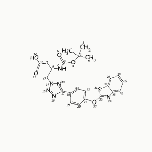 CC(C)(C)OC(=O)NC(CC(=O)O)Cn1nnc(-c2ccc(Oc3nc4ccccc4s3)cc2)n1